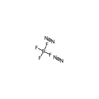 F[B-](F)(F)F.N#N.N#N